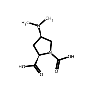 CN(C)[C@@H]1C[C@H](C(=O)O)N(C(=O)O)C1